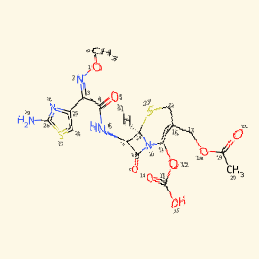 CO/N=C(\C(=O)N[C@@H]1C(=O)N2C(OC(=O)O)=C(COC(C)=O)CS[C@H]12)c1csc(N)n1